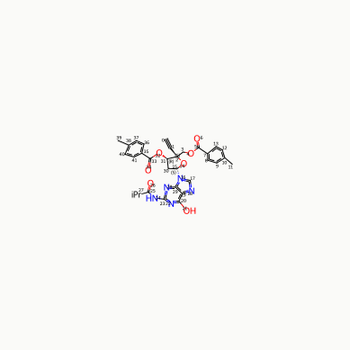 C#C[C@@]1(COC(=O)c2ccc(C)cc2)O[C@H](n2cnc3c(O)nc(NC(=O)C(C)C)nc32)C[C@H]1OC(=O)c1ccc(C)cc1